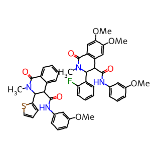 COc1cccc(NC(=O)C2c3cc(OC)c(OC)cc3C(=O)N(C)C2c2ccccc2F)c1.COc1cccc(NC(=O)C2c3ccccc3C(=O)N(C)C2c2cccs2)c1